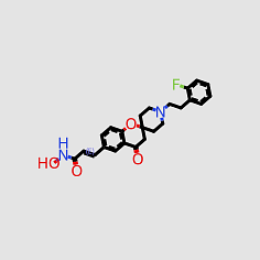 O=C(/C=C/c1ccc2c(c1)C(=O)CC1(CCN(CCc3ccccc3F)CC1)O2)NO